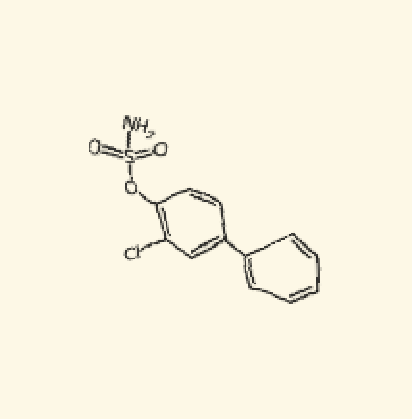 NS(=O)(=O)Oc1ccc(-c2ccccc2)cc1Cl